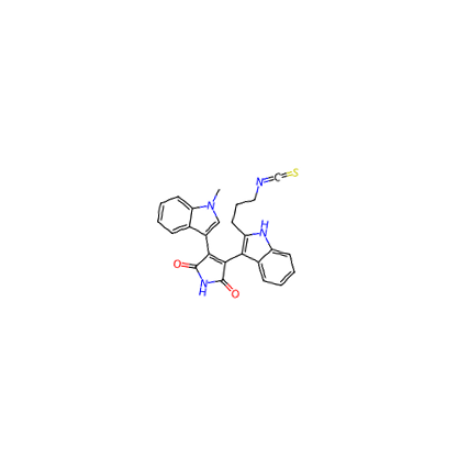 Cn1cc(C2=C(c3c(CCCN=C=S)[nH]c4ccccc34)C(=O)NC2=O)c2ccccc21